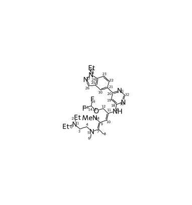 CCN(CC)CCN(C)/C(C)=C(/C=C(\COC(F)F)Nc1cc(-c2ccc3c(cnn3CC)c2)ncn1)NC